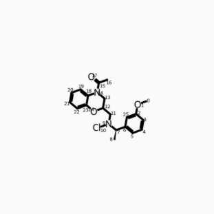 COc1cccc([C@@H](C)N(Cl)CC2CN(C(C)=O)c3ccccc3O2)c1